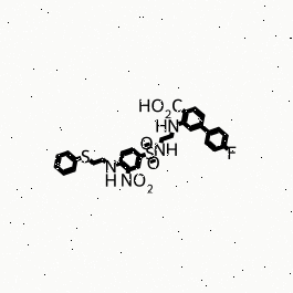 O=C(O)c1ccc(-c2ccc(F)cc2)cc1NCCNS(=O)(=O)c1ccc(NCCSc2ccccc2)c([N+](=O)[O-])c1